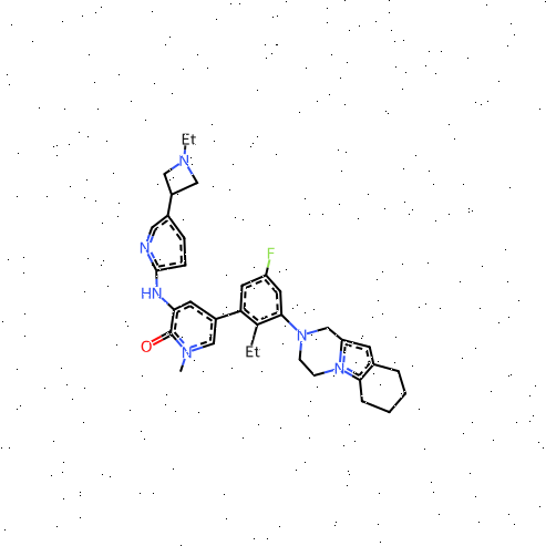 CCc1c(-c2cc(Nc3ccc(C4CN(CC)C4)cn3)c(=O)n(C)c2)cc(F)cc1N1CCn2c(cc3c2CCCC3)C1